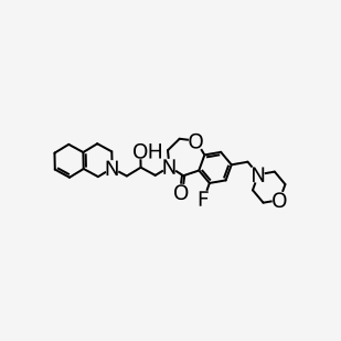 O=C1c2c(F)cc(CN3CCOCC3)cc2OCCN1CC(O)CN1CCC2=C(C=CCC2)C1